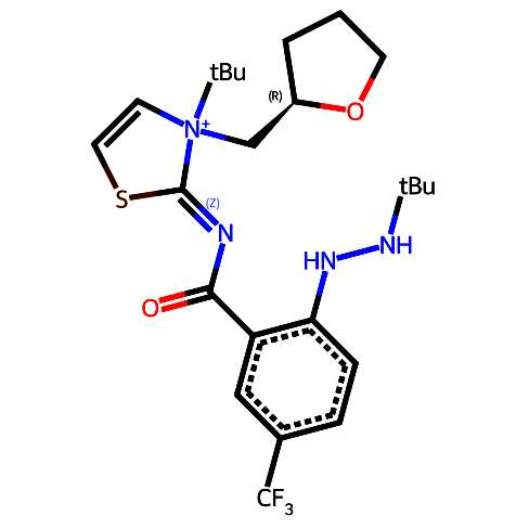 CC(C)(C)NNc1ccc(C(F)(F)F)cc1C(=O)/N=C1\SC=C[N+]1(C[C@H]1CCCO1)C(C)(C)C